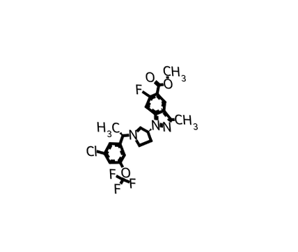 COC(=O)c1cc2c(C)nn([C@@H]3CCN([C@H](C)c4cc(Cl)cc(OC(F)(F)F)c4)C3)c2cc1F